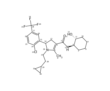 CC1=C(C(=O)N[C@@H]2CCCC[C@H]2O)CC(c2cc(C(F)(F)F)ccc2Cl)N1CCC1CC1